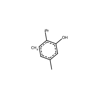 C.Cc1ccc(C(C)C)c(O)c1